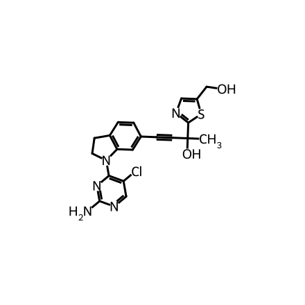 CC(O)(C#Cc1ccc2c(c1)N(c1nc(N)ncc1Cl)CC2)c1ncc(CO)s1